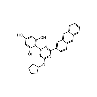 Oc1cc(O)c(-c2nc(OC3CCCC3)nc(-c3ccc4cc5ccccc5cc4c3)n2)c(O)c1